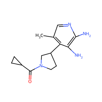 Cc1cnc(N)c(N)c1C1CCN(C(=O)C2CC2)C1